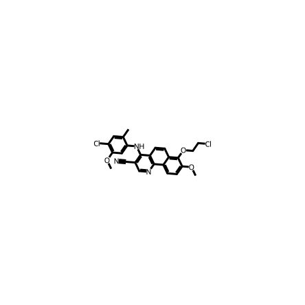 COc1cc(Nc2c(C#N)cnc3c2ccc2c(OCCCl)c(OC)ccc23)c(C)cc1Cl